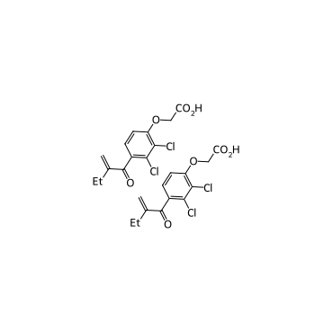 C=C(CC)C(=O)c1ccc(OCC(=O)O)c(Cl)c1Cl.C=C(CC)C(=O)c1ccc(OCC(=O)O)c(Cl)c1Cl